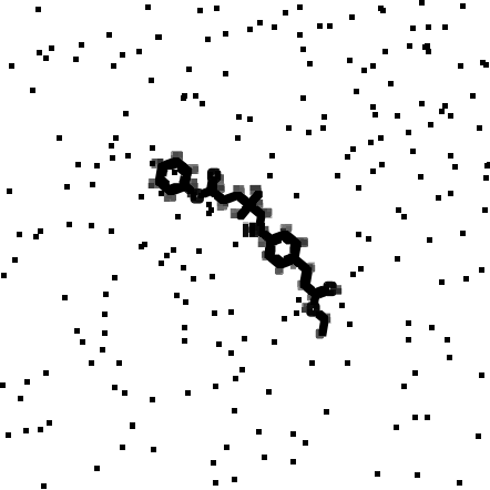 CCOC(=O)C=Cc1ccc(NCC(C)(C)CCC(=O)Oc2ccccc2)cc1